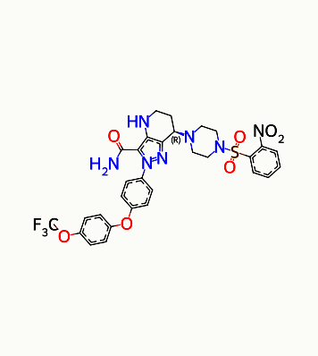 NC(=O)c1c2c(nn1-c1ccc(Oc3ccc(OC(F)(F)F)cc3)cc1)[C@H](N1CCN(S(=O)(=O)c3ccccc3[N+](=O)[O-])CC1)CCN2